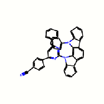 N#Cc1ccc(-c2cc(-c3ccccc3)nc(-n3c4ccccc4c4ccc5c6ccccc6n(-c6ccccc6)c5c43)n2)cc1